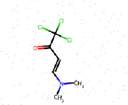 CN(C)C=CC(=O)C(Cl)(Cl)Cl